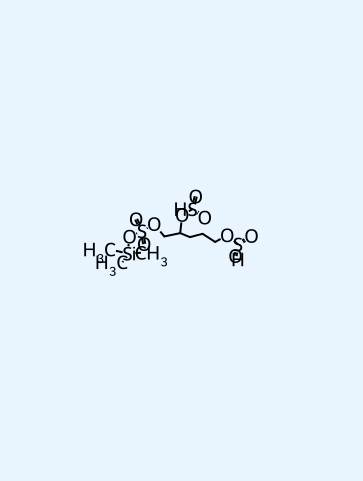 C[Si](C)(C)OS(=O)(=O)OCC(CCCO[SH](=O)=O)O[SH](=O)=O